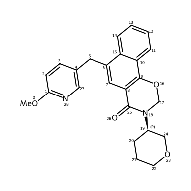 COc1ccc(Cc2cc3c(c4ccccc24)OCN([C@@H]2CCCOC2)C3=O)cn1